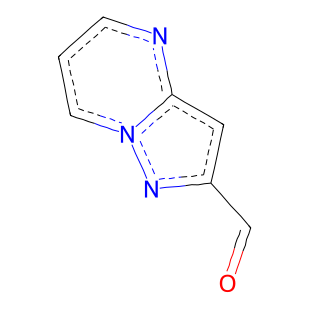 O=Cc1cc2ncccn2n1